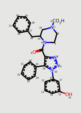 O=C(O)N1CCN(C(=O)c2nnn(-c3cccc(O)c3)c2-c2ccccc2)C(Cc2ccccc2)C1